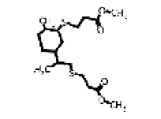 COC(=O)CCSCC(C)C1CCC(C)C(SCCC(=O)OC)C1